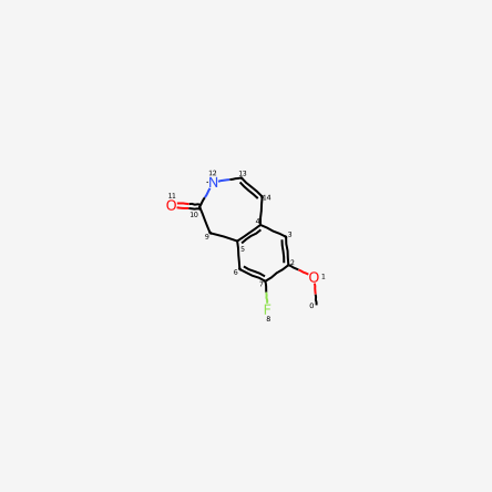 COc1cc2c(cc1F)CC(=O)[N]C=C2